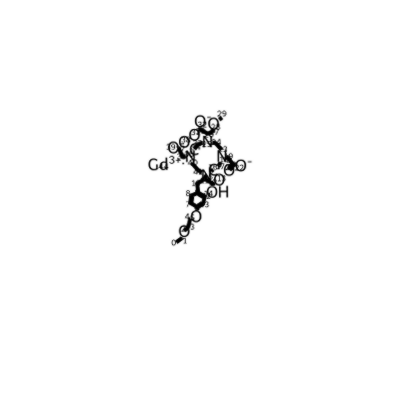 CCOCCOc1ccc(CC(C(=O)O)N2CCN(CC(=O)[O-])CCN(C(COC)C(=O)[O-])CCN(CC(=O)[O-])CC2)cc1.[Gd+3]